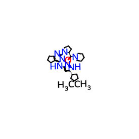 CC1(C)CC[C@@H](c2cc(Nc3nc(N4CCC[C@H]4C(=O)N4CCCCC4)nc4c3CCC4)n[nH]2)C1